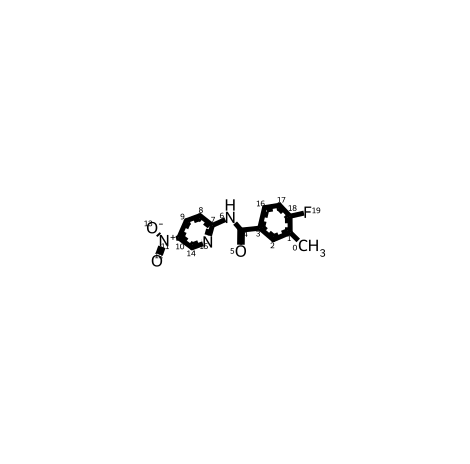 Cc1cc(C(=O)Nc2ccc([N+](=O)[O-])cn2)ccc1F